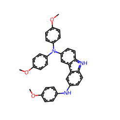 COc1ccc(Nc2ccc3[nH]c4ccc(N(c5ccc(OC)cc5)c5ccc(OC)cc5)cc4c3c2)cc1